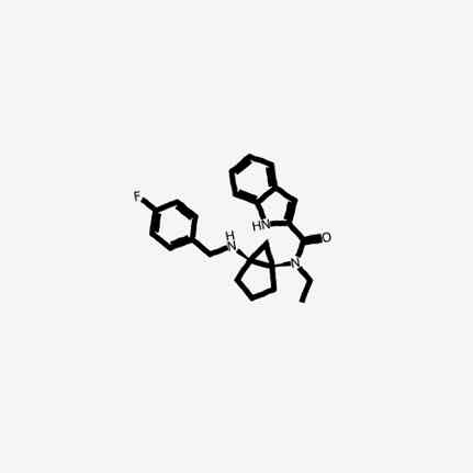 CCN(C(=O)c1cc2ccccc2[nH]1)[C@@]12CCC[C@]1(NCc1ccc(F)cc1)C2